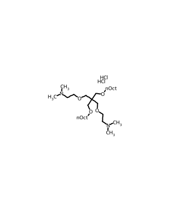 CCCCCCCCOCC(COCCCCCCCC)(COCCN(C)C)COCCN(C)C.Cl.Cl